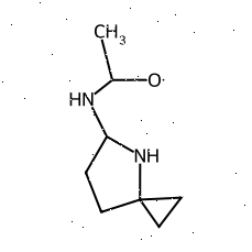 CC([O])NC1CCC2(CC2)N1